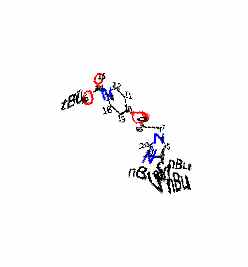 CCC[CH2][Sn]([CH2]CCC)([CH2]CCC)[c]1cn(CCOC2CCN(C(=O)OC(C)(C)C)CC2)cn1